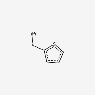 [CH2]C(C)Sc1cccs1